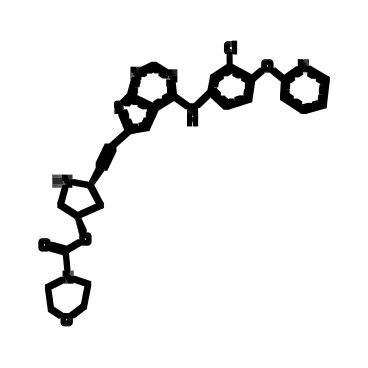 O=C(O[C@H]1CN[C@@H](C#Cc2cc3c(Nc4ccc(Oc5ccccn5)c(Cl)c4)ncnc3s2)C1)N1CCOCC1